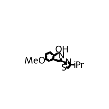 COc1ccc2c(O)nc(-c3nc(C(C)C)cs3)cc2c1